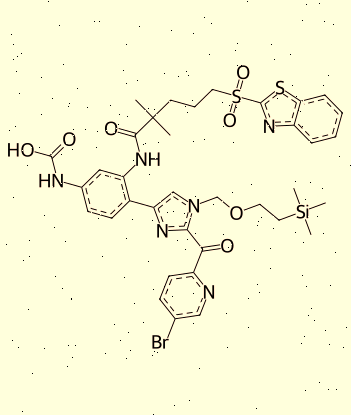 CC(C)(CCCS(=O)(=O)c1nc2ccccc2s1)C(=O)Nc1cc(NC(=O)O)ccc1-c1cn(COCC[Si](C)(C)C)c(C(=O)c2ccc(Br)cn2)n1